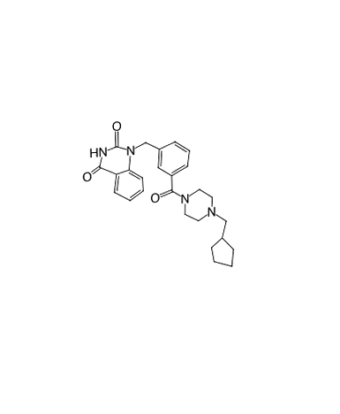 O=C(c1cccc(Cn2c(=O)[nH]c(=O)c3ccccc32)c1)N1CCN(CC2CCCC2)CC1